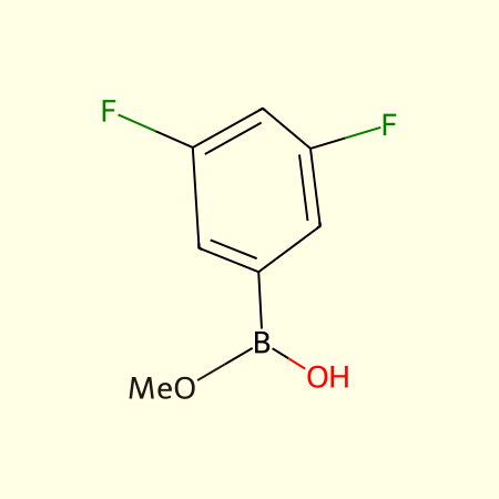 COB(O)c1cc(F)cc(F)c1